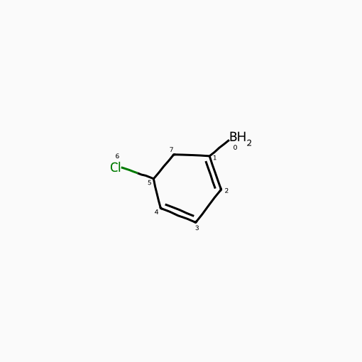 BC1=CC=CC(Cl)C1